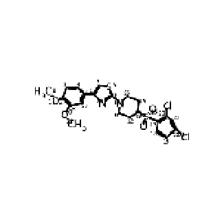 COc1ccc(-c2csc(N3CCC(S(=O)(=O)c4ccc(Cl)cc4Cl)CC3)n2)cc1OC